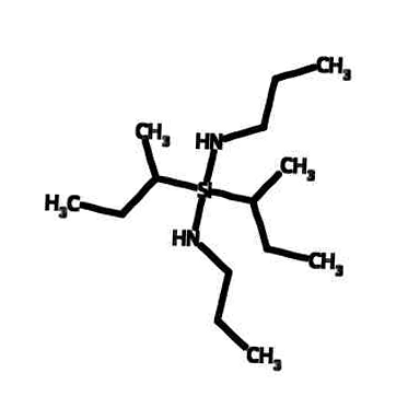 CCCN[Si](NCCC)(C(C)CC)C(C)CC